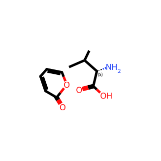 CC(C)[C@H](N)C(=O)O.O=c1cccco1